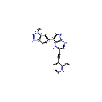 COc1ncccc1C#Cc1cnc2[nH]cc(-c3ccc4ncn(C(C)(C)C)c4c3)c2n1